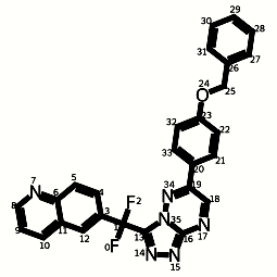 FC(F)(c1ccc2ncccc2c1)c1nnc2ncc(-c3ccc(OCc4ccccc4)cc3)nn12